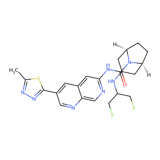 Cc1nnc(-c2cnc3cnc(NC(=O)N4[C@@H]5CC[C@H]4CC(NC(CF)CF)C5)cc3c2)s1